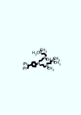 CC(C)CC(c1ccc(N(CCCN(C)CCCN(C)C)CCCN(C)CCCN(C)C)cc1)C(C)C